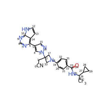 N#CCC1(n2cc(-c3ncnc4[nH]ccc34)cn2)CN(c2ccc(C(=O)NC(C3CC3)C(F)(F)F)cc2)C1